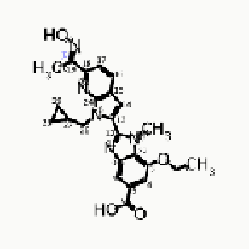 CCOc1cc(C(=O)O)cc2nc(-c3cc4ccc(/C(C)=N/O)nc4n3CC3CC3)n(C)c12